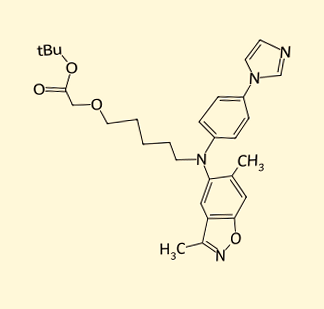 Cc1cc2onc(C)c2cc1N(CCCCCOCC(=O)OC(C)(C)C)c1ccc(-n2ccnc2)cc1